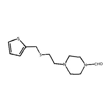 O=CN1CCN(CCSCc2cccs2)CC1